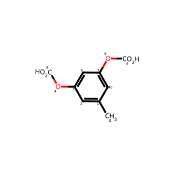 Cc1cc(OC(=O)O)cc(OC(=O)O)c1